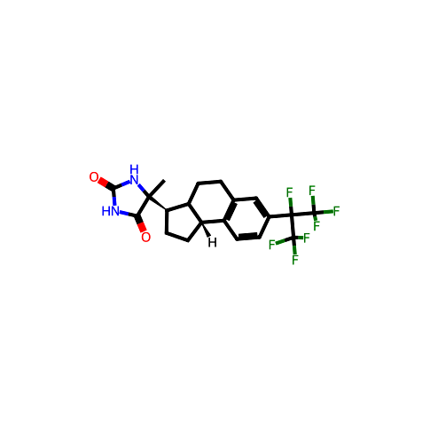 CC1([C@@H]2CC[C@H]3c4ccc(C(F)(C(F)(F)F)C(F)(F)F)cc4CCC23)NC(=O)NC1=O